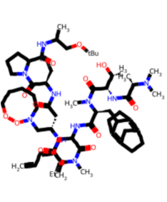 C=C/C=C(\C=C)CC(NC(=O)[C@H](CC1C2=C3CCC(=C1CC2)C3)N(C)C(=O)[C@@H](NC(=O)[C@H](C)N(C)C)[C@@H](C)O)C(=O)N(C)[C@@H](CC)C(=O)N[C@@H](CC(=O)N[C@H](CC(C)C)C(=O)N1CCCC1C(=O)NC(C)COC(C)(C)C)CN1CCCCCOO1